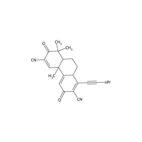 [C-]#[N+]C1=CC2(C)C3=CC(=O)C(C#N)=C(C#CCCC)C3CCC2C(C)(C)C1=O